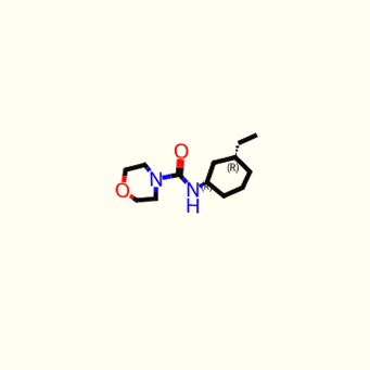 CC[C@@H]1CCC[C@@H](NC(=O)N2CCOCC2)C1